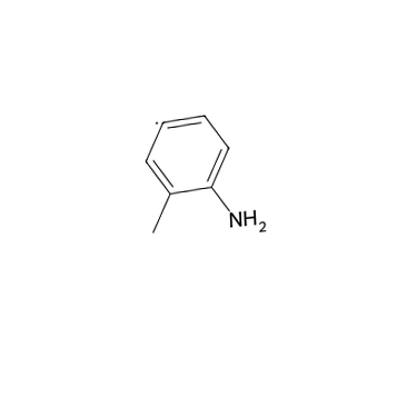 Cc1c[c]ccc1N